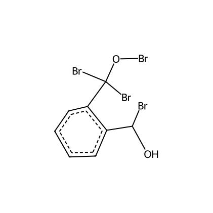 OC(Br)c1ccccc1C(Br)(Br)OBr